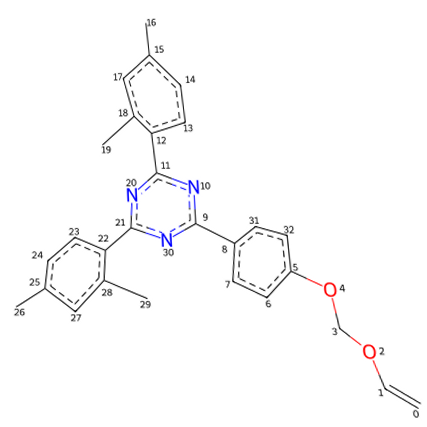 C=COCOc1ccc(-c2nc(-c3ccc(C)cc3C)nc(-c3ccc(C)cc3C)n2)cc1